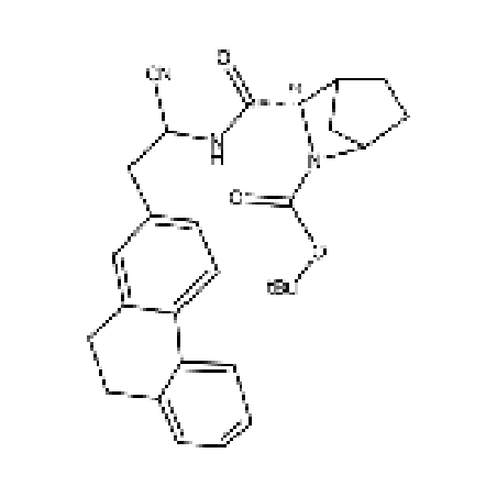 CC(C)(C)OC(=O)N1C2CCC(C2)[C@H]1C(=O)NC(C#N)Cc1ccc2c(c1)CCc1ccccc1-2